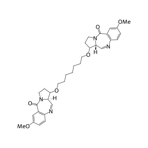 COc1ccc2c(c1)C(=O)N1CCC(OCCCCCCCOC3CCN4C(=O)c5cc(OC)ccc5N=C[C@H]34)[C@H]1C=N2